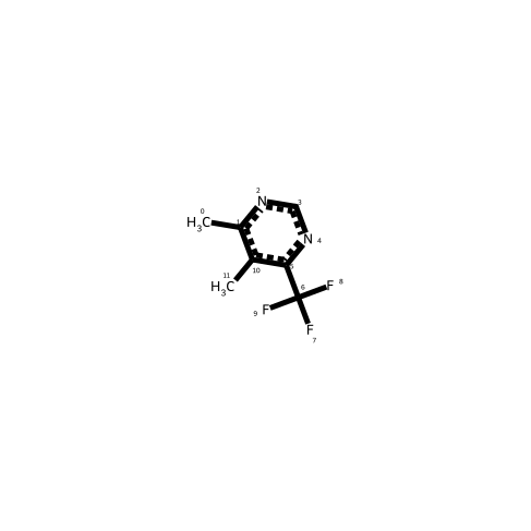 Cc1ncnc(C(F)(F)F)c1C